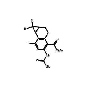 COC(=O)c1c(NC(=O)C(C)(C)C)cc(F)c2c1OCC1C2C1(Br)Br